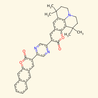 CC1(C)CCN2CCC(C)(C)c3c2c1cc1cc(-c2cnc(-c4cc5cc6ccccc6cc5oc4=O)cn2)c(=O)oc31